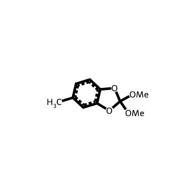 COC1(OC)Oc2ccc(C)cc2O1